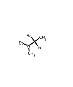 CCN(C)C(C)(CC)C(C)=O